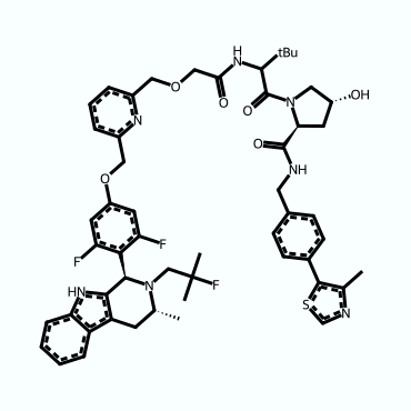 Cc1ncsc1-c1ccc(CNC(=O)[C@@H]2C[C@@H](O)CN2C(=O)C(NC(=O)COCc2cccc(COc3cc(F)c([C@@H]4c5[nH]c6ccccc6c5C[C@@H](C)N4CC(C)(C)F)c(F)c3)n2)C(C)(C)C)cc1